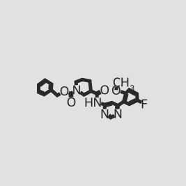 COc1ccc(F)cc1-c1cc(NC(=O)C2CCCN(C(=O)OCc3ccccc3)C2)ncn1